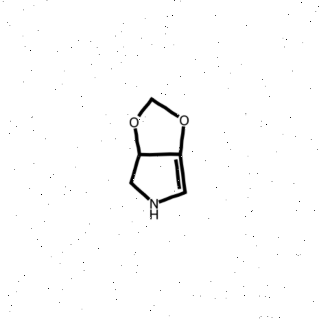 C1=C2OCOC2CN1